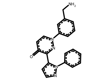 NCc1cccc(-n2ccc(=O)c(-c3ccnn3-c3ccccc3)n2)c1